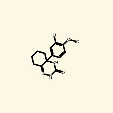 CCOc1ccc(C23CCCCC2=NNC(=O)N3)cc1Cl